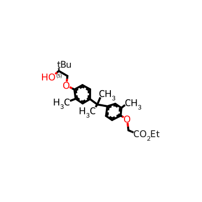 CCOC(=O)COc1ccc(C(C)(C)c2ccc(OC[C@@H](O)C(C)(C)C)c(C)c2)cc1C